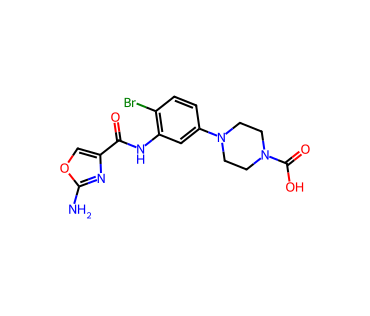 Nc1nc(C(=O)Nc2cc(N3CCN(C(=O)O)CC3)ccc2Br)co1